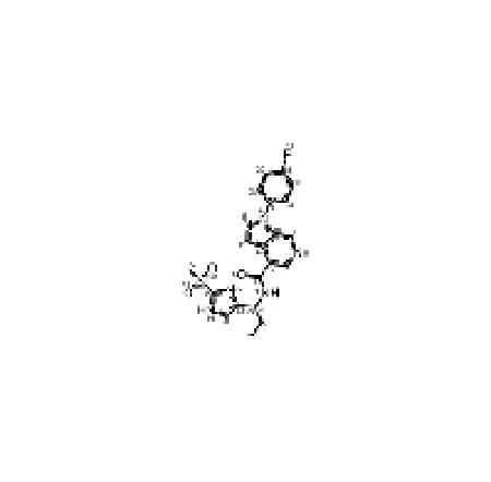 CC[C@H](NC(=O)c1cncc2c1cnn2-c1ccc(F)cc1)c1c[nH]c(S(C)(=O)=O)n1